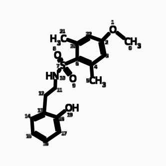 COc1cc(C)c(S(=O)(=O)NCCc2ccccc2O)c(C)c1